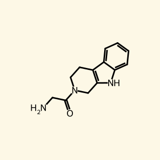 NCC(=O)N1CCc2c([nH]c3ccccc23)C1